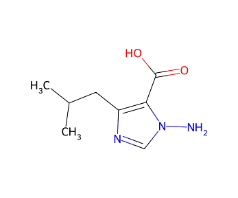 CC(C)Cc1ncn(N)c1C(=O)O